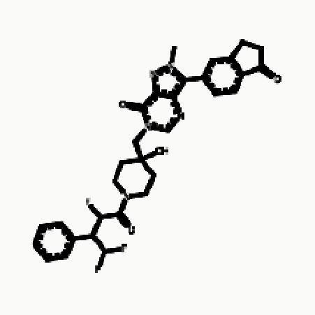 Cn1nc2c(=O)n(CC3(O)CCN(C(=O)C(F)C(c4ccccc4)C(F)F)CC3)cnc2c1-c1ccc2c(c1)CCC2=O